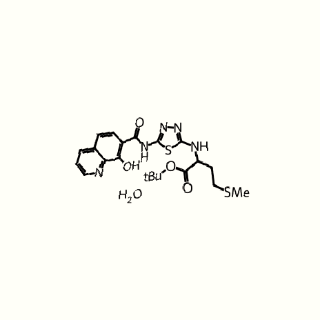 CSCCC(Nc1nnc(NC(=O)c2ccc3cccnc3c2O)s1)C(=O)OC(C)(C)C.O